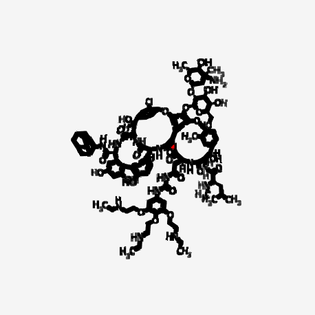 CCNCCOc1cc(NC(=O)NC(=O)C[C@@H]2NC(=O)[C@H](NC(=O)[C@@H](CC(C)C)NC)[C@H](O)c3ccc(c(C)c3)Oc3cc4cc(c3O[C@@H]3O[C@H](CO)[C@@H](O)[C@H](O)[C@H]3O[C@H]3C[C@](C)(N)[C@H](O)[C@H](C)O3)Oc3ccc(cc3Cl)[C@@H](O)[C@@H]3NC(=O)[C@H](NC(=O)[C@@H]4NC2=O)c2ccc(O)c(c2)-c2c(O)cc(O)cc2[C@@H](C(=O)NC2C4CC5CC(C4)CC2C5)NC3=O)cc(OCCNCC)c1OCCNCC